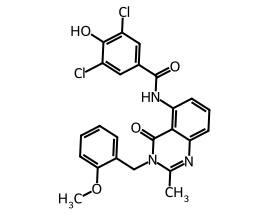 COc1ccccc1Cn1c(C)nc2cccc(NC(=O)c3cc(Cl)c(O)c(Cl)c3)c2c1=O